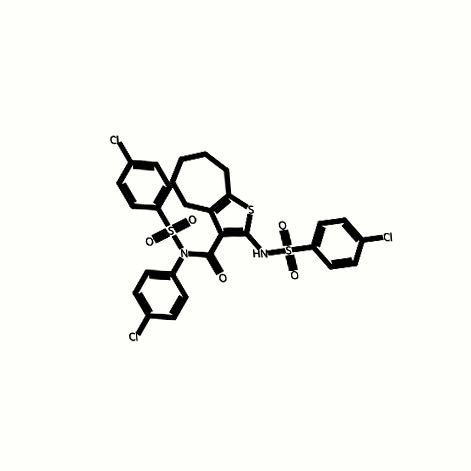 O=C(c1c(NS(=O)(=O)c2ccc(Cl)cc2)sc2c1CCCCC2)N(c1ccc(Cl)cc1)S(=O)(=O)c1ccc(Cl)cc1